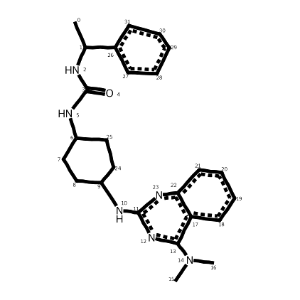 CC(NC(=O)NC1CCC(Nc2nc(N(C)C)c3ccccc3n2)CC1)c1ccccc1